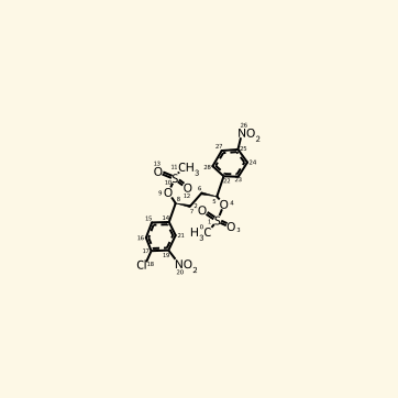 CS(=O)(=O)O[C@@H](CC[C@H](OS(C)(=O)=O)c1ccc(Cl)c([N+](=O)[O-])c1)c1ccc([N+](=O)[O-])cc1